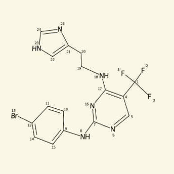 FC(F)(F)c1cnc(Nc2ccc(Br)cc2)nc1NCCc1c[nH]cn1